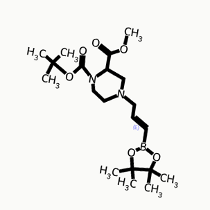 COC(=O)C1CN(C/C=C/B2OC(C)(C)C(C)(C)O2)CCN1C(=O)OC(C)(C)C